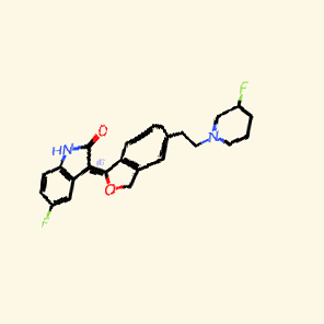 O=C1Nc2ccc(F)cc2/C1=C1\OCc2cc(CCN3CCCC(F)C3)ccc21